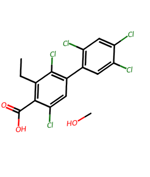 CCc1c(Cl)c(-c2cc(Cl)c(Cl)cc2Cl)cc(Cl)c1C(=O)O.CO